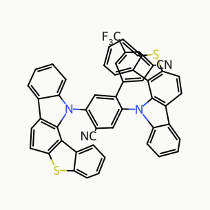 N#Cc1cc(-c2cc(-n3c4ccccc4c4ccc5sc6ccccc6c5c43)c(C#N)cc2-n2c3ccccc3c3ccc4sc5ccccc5c4c32)cc(C(F)(F)F)c1